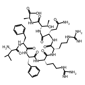 CC(C)[C@H](N)C(=O)N[C@@H](Cc1ccccc1)C(=O)N[C@@H](Cc1ccccc1)C(=O)N[C@@H](CCCNC(=N)N)C(=O)N[C@@H](CCCNC(=N)N)C(=O)N[C@@H](CCC(N)=O)C(=O)N[C@H](C(=O)N[C@@H](C)C(=O)O)[C@@H](C)O